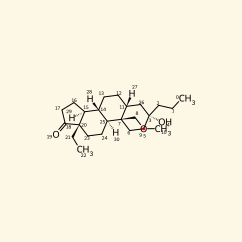 CCC[C@@]1(O)CC[C@@]2(COC)[C@H](CC[C@H]3[C@@H]4CCC(=O)[C@@]4(CC)CC[C@@H]32)C1